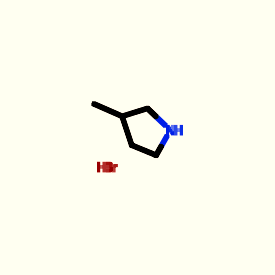 Br.CC1CCNC1